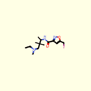 CCN(C)CC(C)(C)C(C)NC(=O)c1cc(CI)on1